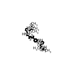 COC(=O)N[C@H](C(=O)N1CCCC1c1nc(-c2csc3c(-c4ccc5nc([C@@H]6CCCN6C(=O)[C@@H](NC(=O)OC)C(C)C)[nH]c5c4)csc23)c[nH]1)C(C)C